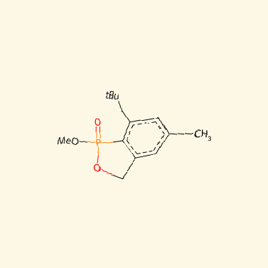 COP1(=O)OCc2cc(C)cc(C(C)(C)C)c21